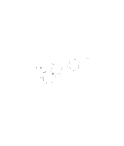 Cc1cc(-c2ccc(F)cc2)cnc1C(=O)N(C)C(C)(C)C